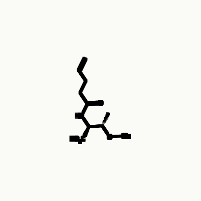 C=CCCC(=O)N[C@H](C(=O)O)[C@H](C)OC(C)(C)C